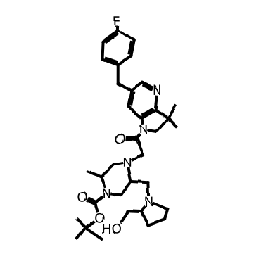 CC1CN(CC(=O)N2CC(C)(C)c3ncc(Cc4ccc(F)cc4)cc32)C(CN2CCCC2CO)CN1C(=O)OC(C)(C)C